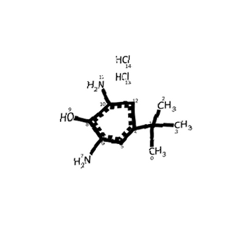 CC(C)(C)c1cc(N)c(O)c(N)c1.Cl.Cl